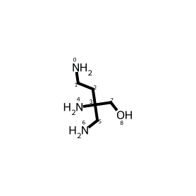 NCCC(N)(CN)CO